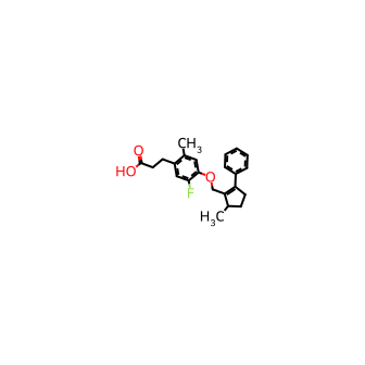 Cc1cc(OCC2=C(c3ccccc3)CCC2C)c(F)cc1CCC(=O)O